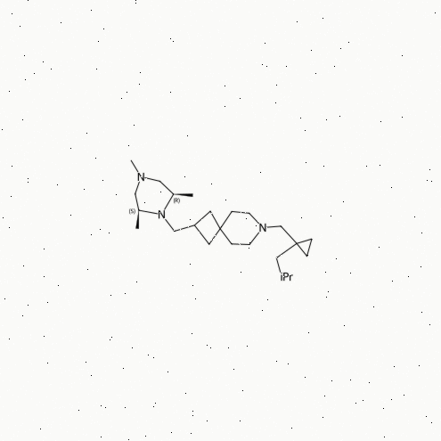 CC(C)CC1(CN2CCC3(CC2)CC(CN2[C@H](C)CN(C)C[C@@H]2C)C3)CC1